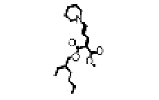 CCCCC(CC)COC(=O)C(=CC=CN1CCCCC1)C(=O)OC